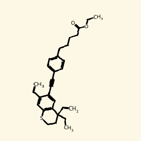 CCOC(=O)CCCCc1ccc(C#Cc2cc3c(cc2CC)SCCC3(CC)CC)cc1